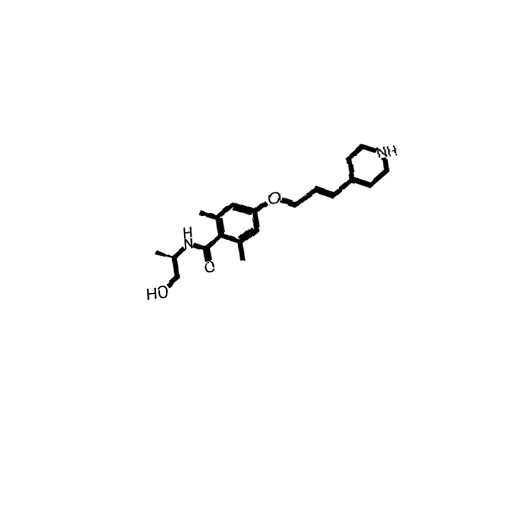 Cc1cc(OCCCC2CCNCC2)cc(C)c1C(=O)N[C@H](C)CO